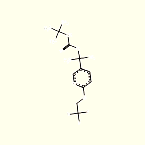 CC(C)(C)NC(=O)OC(C)(C)c1ccc(OCC(F)(F)F)nc1